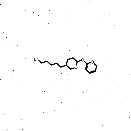 BrCCCCCC1CCC(OC2=CC=CCO2)OC1